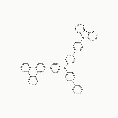 c1ccc(-c2ccc(N(c3ccc(-c4ccc(-n5c6ccccc6c6ccccc65)cc4)cc3)c3ccc(-c4ccc5c6ccccc6c6ccccc6c5c4)cc3)cc2)cc1